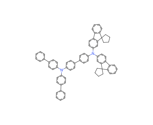 c1ccc(-c2ccc(N(c3ccc(-c4ccccc4)cc3)c3ccc(-c4ccc(N(c5ccc6c(c5)C5(CCCC5)c5ccccc5-6)c5ccc6c(c5)C5(CCCC5)c5ccccc5-6)cc4)cc3)cc2)cc1